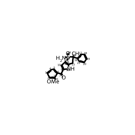 COc1ccccc1C(=O)c1ccc(CC(C)(c2ccccc2)S(N)(=O)=O)[nH]1